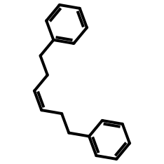 C(=C/CCc1ccccc1)/CCc1ccccc1